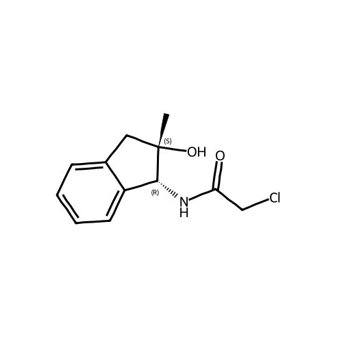 C[C@]1(O)Cc2ccccc2[C@H]1NC(=O)CCl